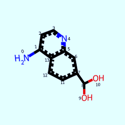 Nc1ccnc2cc(C(O)O)ccc12